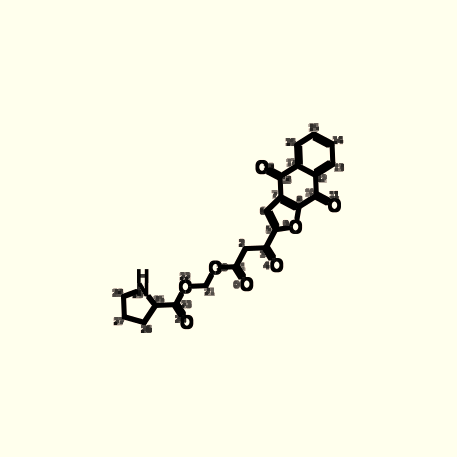 O=C(CC(=O)c1cc2c(o1)C(=O)c1ccccc1C2=O)OCOC(=O)C1CCCN1